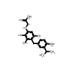 CC(C)c1cc(Cc2c(Cl)cc(OCC(=O)O)c(F)c2Cl)ccc1O